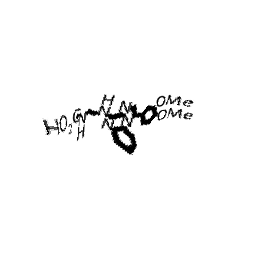 COc1ccc(-c2cnc3c(NCCNC(=O)O)nc4ccccc4n23)cc1OC